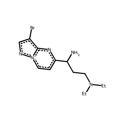 CCN(CC)CCC(N)c1ccn2ncc(Br)c2n1